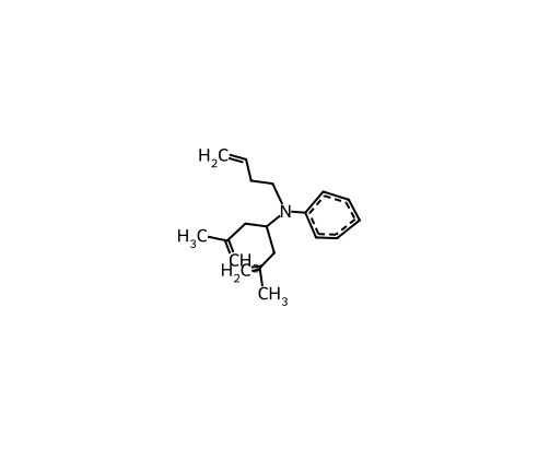 C=CCCN(c1ccccc1)C(CC(=C)C)CC(=C)C